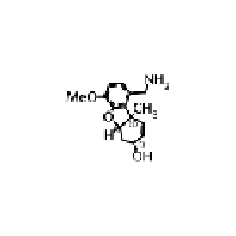 COc1ccc(CN)c2c1O[C@H]1C[C@H](O)C=C[C@@]21C